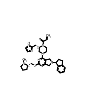 C=CC(=O)N1CCN(c2nc(OC[C@@H]3CCCN3C)nc3c2CN(C2CCc4ccccc42)C3)C[C@@H]1Cc1ncc[nH]1